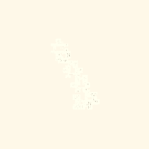 O=C(O)c1[nH]nnc1-c1ccc(-c2ccc(-c3nc4ccccc4s3)cc2)cc1